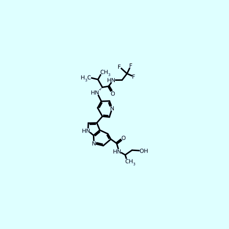 CC(CO)NC(=O)c1cnc2[nH]cc(-c3cncc(N[C@@H](C(=O)NCC(F)(F)F)C(C)C)c3)c2c1